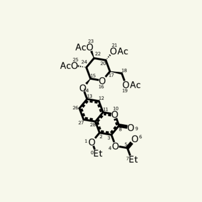 CCOc1c(OC(=O)CC)c(=O)oc2cc(O[C@@H]3O[C@H](COC(C)=O)[C@@H](OC(C)=O)[C@H](OC(C)=O)[C@H]3OC(C)=O)ccc12